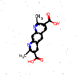 Cc1nc2cc3nc(C)c(C(=O)O)cc3cc2cc1C(=O)O